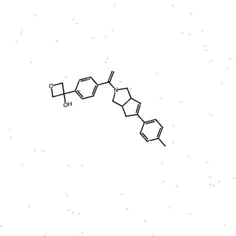 C=C(c1ccc(C2(O)COC2)cc1)N1CC2C=C(c3ccc(C)cc3)CC2C1